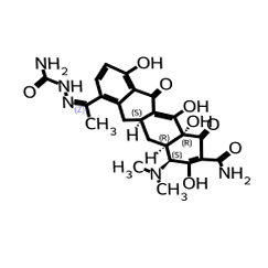 C/C(=N/NC(N)=O)c1ccc(O)c2c1C[C@@H]1C[C@@H]3[C@H](N(C)C)C(O)=C(C(N)=O)C(=O)[C@]3(O)C(O)=C1C2=O